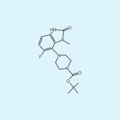 Cn1c(=O)[nH]c2ccc(F)c(N3CCN(C(=O)OC(C)(C)C)CC3)c21